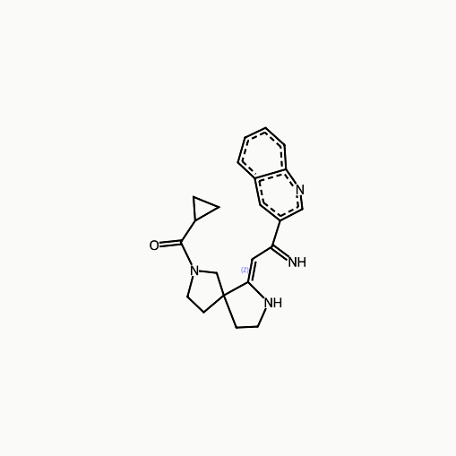 N=C(/C=C1\NCCC12CCN(C(=O)C1CC1)C2)c1cnc2ccccc2c1